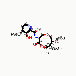 CCCCO[C@H]1COC[C@H](NC(=O)c2nccc(OC)c2O)C(=O)O[C@@H](C)[C@@H]1OC